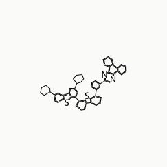 c1cc(-c2cnc3c4ccccc4c4ccccc4c3n2)cc(-c2cccc3c2sc2c(-c4cc(C5CCCCC5)cc5c4sc4ccc(C6CCCCC6)cc45)cccc23)c1